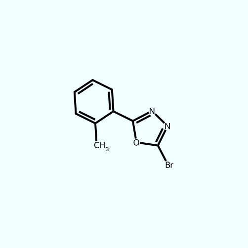 Cc1ccccc1-c1nnc(Br)o1